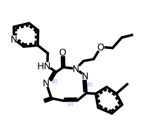 C=C1/C=C\C(c2cccc(C)c2)=N/N(CCOCCC)C(=O)/C(NCc2cccnc2)=N\1